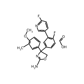 COc1ccc(C2(c3ccc(F)c(-c4ccc(F)nc4)c3)COC(N)=N2)cc1C.O=CO